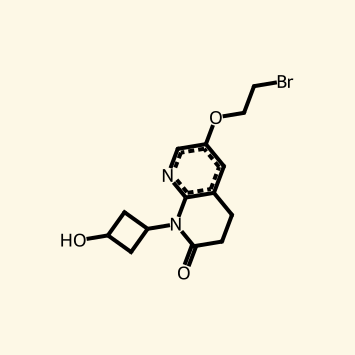 O=C1CCc2cc(OCCBr)cnc2N1C1CC(O)C1